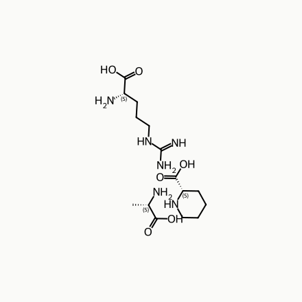 C[C@H](N)C(=O)O.N=C(N)NCCC[C@H](N)C(=O)O.O=C(O)[C@@H]1CCCCN1